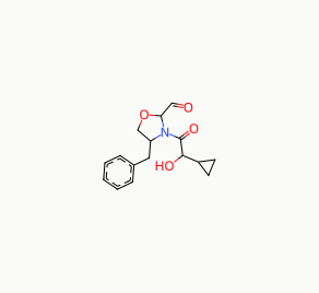 O=CC1OCC(Cc2ccccc2)N1C(=O)C(O)C1CC1